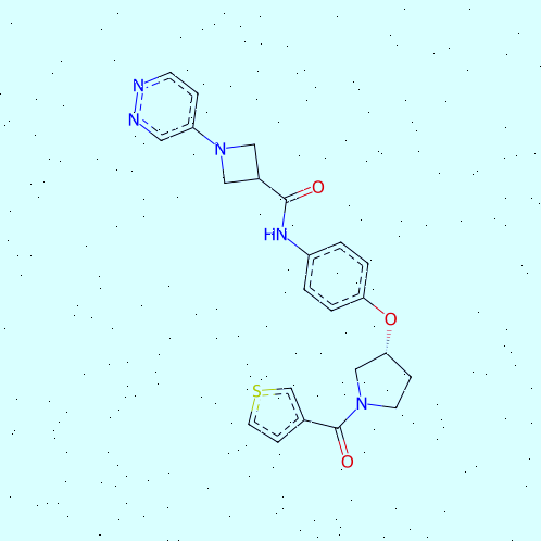 O=C(Nc1ccc(O[C@@H]2CCN(C(=O)c3ccsc3)C2)cc1)C1CN(c2ccnnc2)C1